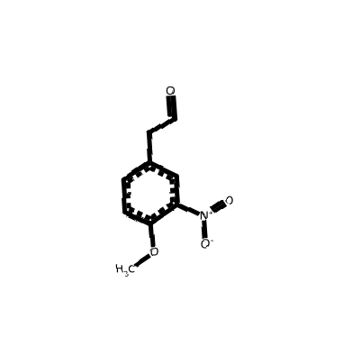 COc1ccc(CC=O)cc1[N+](=O)[O-]